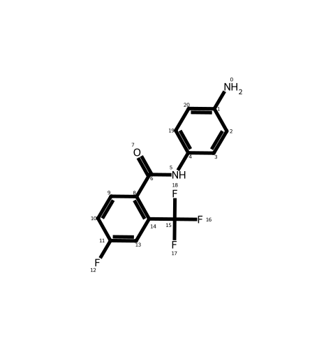 Nc1ccc(NC(=O)c2ccc(F)cc2C(F)(F)F)cc1